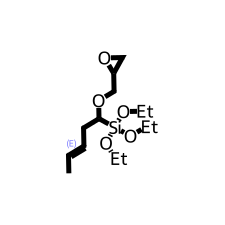 C/C=C/CC(OCC1CO1)[Si](OCC)(OCC)OCC